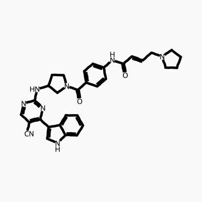 N#Cc1cnc(NC2CCN(C(=O)c3ccc(NC(=O)C=CCN4CCCC4)cc3)C2)nc1-c1c[nH]c2ccccc12